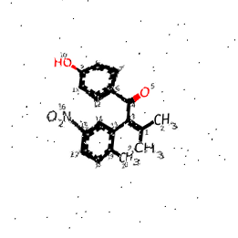 CC(C)=C(C(=O)c1ccc(O)cc1)c1cc([N+](=O)[O-])ccc1C